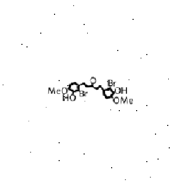 COc1ccc(C=CC(=O)C=Cc2ccc(OC)c(O)c2Br)c(Br)c1O